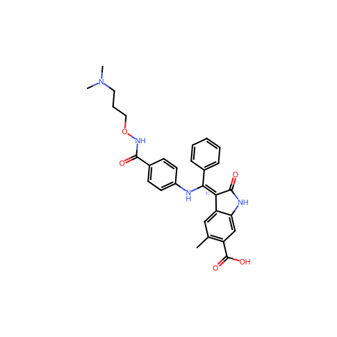 Cc1cc2c(cc1C(=O)O)NC(=O)/C2=C(/Nc1ccc(C(=O)NOCCCN(C)C)cc1)c1ccccc1